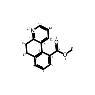 COC(=O)c1cccc2c1-c1cccnc1CC2